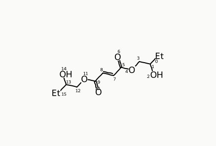 CCC(O)COC(=O)/C=C/C(=O)OCC(O)CC